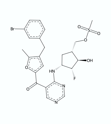 Cc1oc(C(=O)c2cncnc2N[C@@H]2C[C@H](COS(C)(=O)=O)[C@@H](O)[C@@H]2F)cc1Cc1cccc(Br)c1